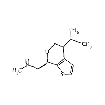 CNCC1OCC(C(C)C)c2ccsc21